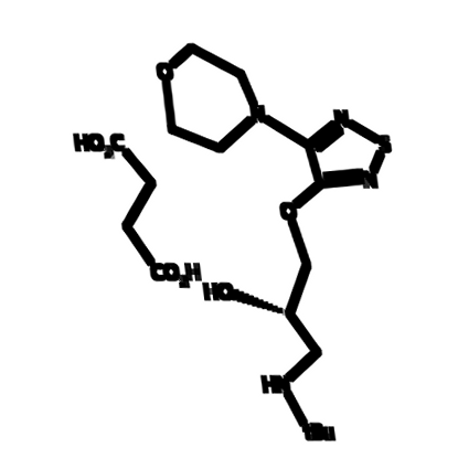 CC(C)(C)NC[C@H](O)COc1nsnc1N1CCOCC1.O=C(O)CCC(=O)O